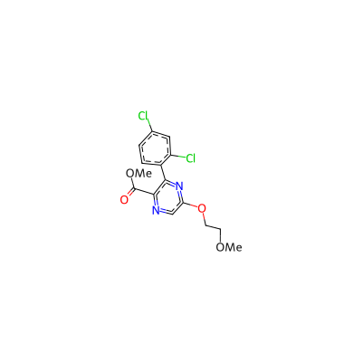 COCCOc1cnc(C(=O)OC)c(-c2ccc(Cl)cc2Cl)n1